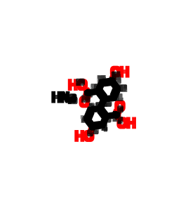 O=C(O)c1cc(O)ccc1-c1ccc(O)cc1C(=O)O.[NaH]